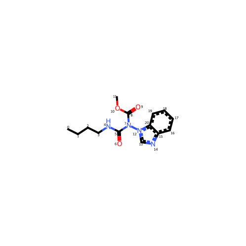 CCCCNC(=O)N(C(=O)OC)n1cnc2ccccc21